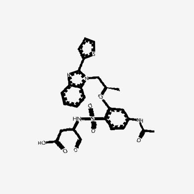 CC(=O)Nc1ccc(S(=O)(=O)NC(C=O)CC(=O)O)c(O[C@H](C)Cn2c(-c3cccs3)nc3ccccc32)c1